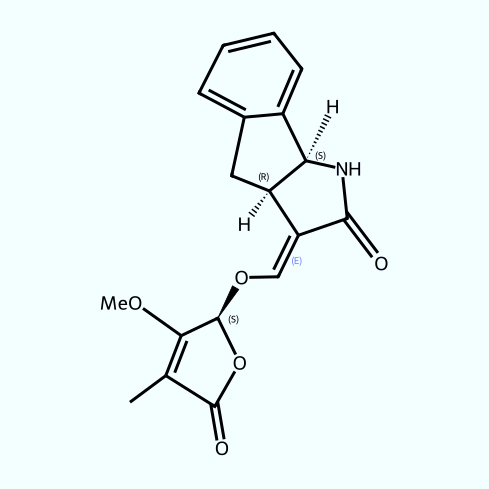 COC1=C(C)C(=O)O[C@@H]1O/C=C1/C(=O)N[C@@H]2c3ccccc3C[C@H]12